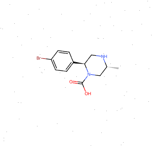 C[C@@H]1CN(C(=O)O)[C@@H](c2ccc(Br)cc2)CN1